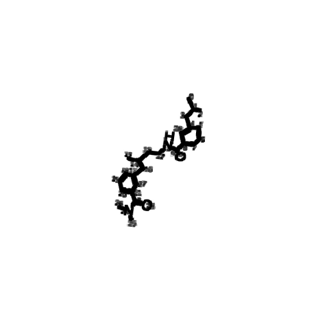 CC(C)Cc1cccc(C(=O)NCCC(C)Cc2cccc(C(=O)N(C)C)c2)c1